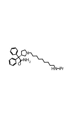 CC(C)NCCCCCCCCCN1CC[C@H](C(C(N)=O)(c2ccccc2)c2ccccc2)C1